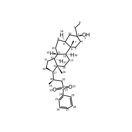 CC[C@]1(O)CC[C@@]2(C)[C@@H](CC[C@@H]3[C@@H]2CC[C@]2(C)[C@@H]([C@H](C)CS(=O)(=O)c4ccccc4)CC[C@@H]32)C1